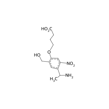 CC(N)c1cc(CO)c(OCCCC(=O)O)cc1[N+](=O)[O-]